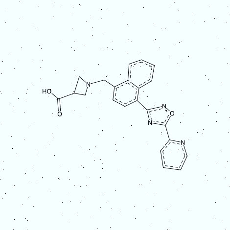 O=C(O)C1CN(Cc2ccc(-c3noc(-c4ccccn4)n3)c3ccccc23)C1